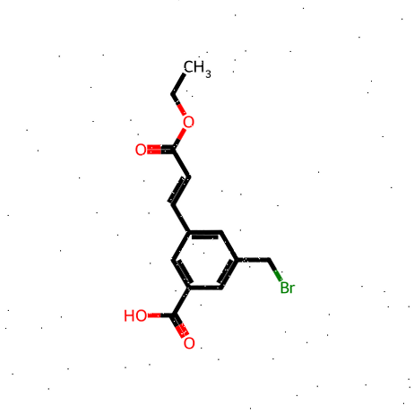 CCOC(=O)/C=C/c1cc(CBr)cc(C(=O)O)c1